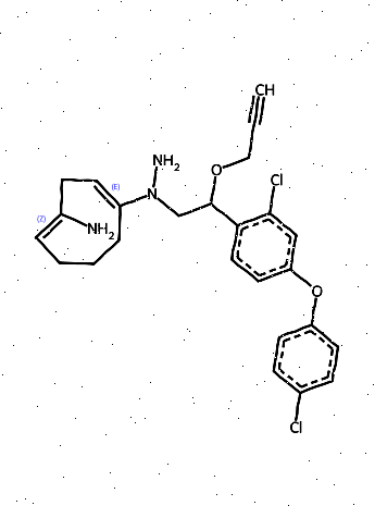 C#CCOC(CN(N)/C1=C/C/C(N)=C/CCC1)c1ccc(Oc2ccc(Cl)cc2)cc1Cl